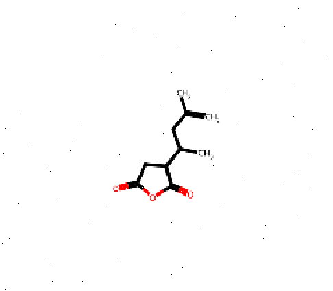 C=C(C)CC(C)C1CC(=O)OC1=O